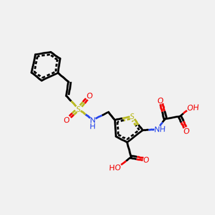 O=C(O)C(=O)Nc1sc(CNS(=O)(=O)C=Cc2ccccc2)cc1C(=O)O